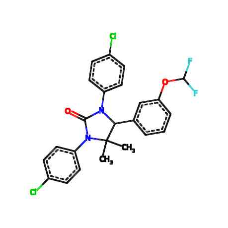 CC1(C)C(c2cccc(OC(F)F)c2)N(c2ccc(Cl)cc2)C(=O)N1c1ccc(Cl)cc1